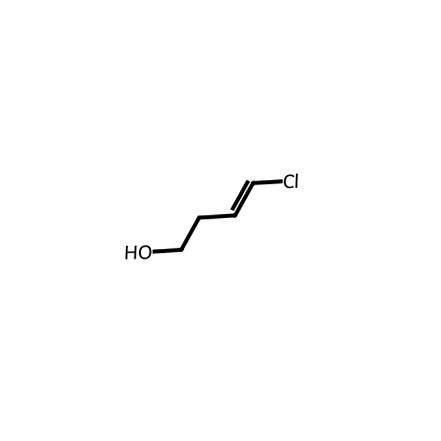 OCCC=CCl